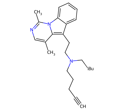 C#CCCCN(CCc1c2ccccc2n2c(C)ncc(C)c12)CC(C)CC